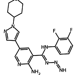 N=N/N=C(\Nc1cccc(F)c1F)c1cc(-c2cnn(C3CCOCC3)c2)cnc1N